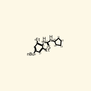 CCCCc1cc(CC)c(NC(=S)NC2CCCC2)c(CC)c1